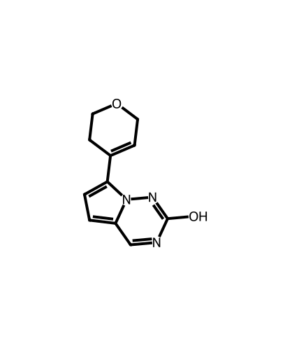 Oc1ncc2ccc(C3=CCOCC3)n2n1